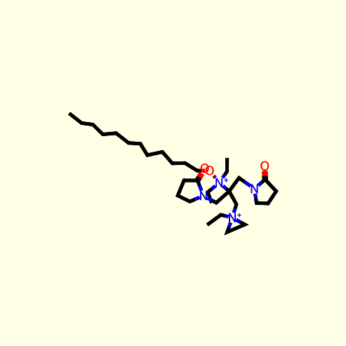 CCCCCCCCCCCCO[N+](CC)(CC)C(CN1CCCC1=O)(CN1CCCC1=O)C[N+]1(CC)CC1